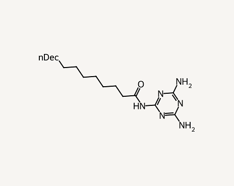 CCCCCCCCCCCCCCCCCC(=O)Nc1nc(N)nc(N)n1